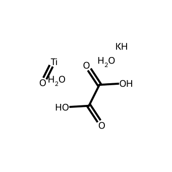 O.O.O=C(O)C(=O)O.[KH].[O]=[Ti]